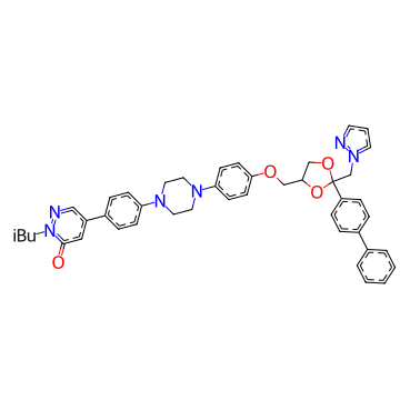 CCC(C)n1ncc(-c2ccc(N3CCN(c4ccc(OCC5COC(Cn6cccn6)(c6ccc(-c7ccccc7)cc6)O5)cc4)CC3)cc2)cc1=O